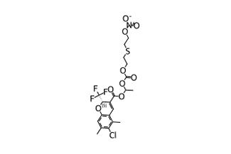 Cc1cc2c(c(C)c1Cl)C=C(C(=O)OC(C)OC(=O)OCCSCCO[N+](=O)[O-])[C@@H](C(F)(F)F)O2